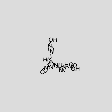 O=P(O)(O)CCn1cc(CNc2nc(NCCCN3CCN(CCO)CC3)cc(N3CCOCC3)n2)nn1